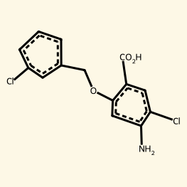 Nc1cc(OCc2cccc(Cl)c2)c(C(=O)O)cc1Cl